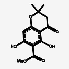 COC(=O)c1c(O)cc2c(c1O)C(=O)CC(C)(C)O2